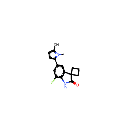 Cn1c(C#N)ccc1-c1cc(F)c2c(c1)C1(CCC1)C(=O)N2